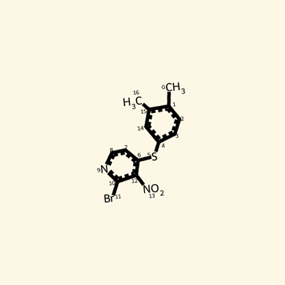 Cc1ccc(Sc2ccnc(Br)c2[N+](=O)[O-])cc1C